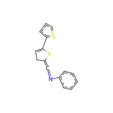 C(=Nc1ccccc1)=C1CC=C(c2cccs2)S1